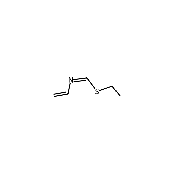 C=C/N=C\SCC